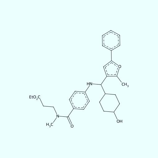 CCOC(=O)CCN(C)C(=O)c1ccc(NC(c2cc(-c3ccccc3)oc2C)C2CCC(O)CC2)cc1